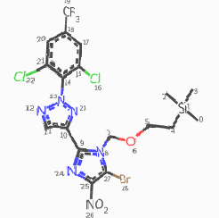 C[Si](C)(C)CCOCn1c(-c2cnn(-c3c(Cl)cc(C(F)(F)F)cc3Cl)n2)nc([N+](=O)[O-])c1Br